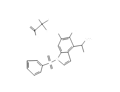 CNC(C)c1c(O)c(F)cc2c1ccn2S(=O)(=O)c1ccccc1.O=C(O)C(F)(F)F